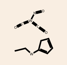 C[CH2][W][C]1=CC=CC1.O=[C]=[W](=[C]=O)[N]=O